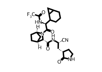 N#C[C@H](C[C@@H]1CCNC1=O)NC(=O)[C@@H]1[C@H]2CC[C@H](C2)N1C(=O)[C@@H](NC(=O)C(F)(F)F)C1CCCC2CC21